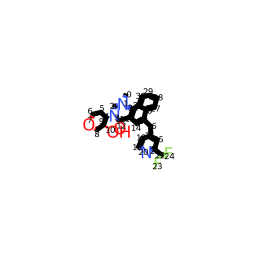 CN1CN([C@H]2CCOC[C@@H]2O)C(=O)c2cc(Cc3ccnc(C(F)F)c3)c3ccccc3c21